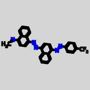 C=Nc1ccc(/N=N/c2ccc(/N=N/c3ccc(C(F)(F)F)cc3)c3ccccc23)c2ccccc12